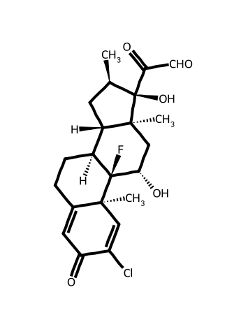 C[C@@H]1C[C@H]2[C@@H]3CCC4=CC(=O)C(Cl)=C[C@]4(C)[C@@]3(F)[C@@H](O)C[C@]2(C)[C@@]1(O)C(=O)C=O